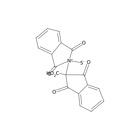 O=C(O)C1([N+]2([S-])C(=O)c3ccccc3C2=O)C(=O)c2ccccc2C1=O